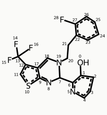 Oc1cccnc1C1N=c2scc(C(F)(F)F)c2=CN1CCc1ccccc1F